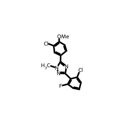 COc1ccc(-c2nc(-c3c(F)cccc3Cl)nn2C)cc1Cl